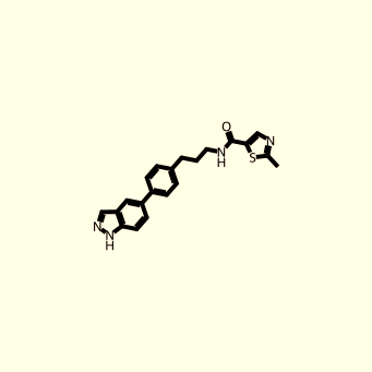 Cc1ncc(C(=O)NCCCc2ccc(-c3ccc4[nH]ncc4c3)cc2)s1